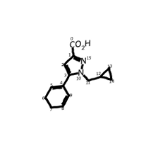 O=C(O)c1cc(C2=CCCC=C2)n(CC2CC2)n1